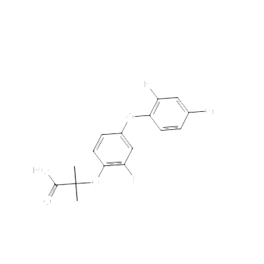 CC(C)(Oc1ccc(Oc2ccc(Br)cc2F)cc1F)C(=O)O